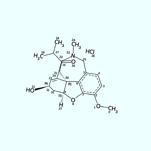 COc1ccc2c3c1O[C@H]1C[C@@H](O)C=C(C(=O)C(C)C)[C@@]31CCN(C)C2.Cl